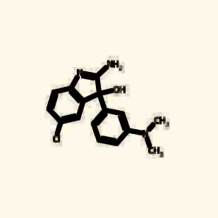 CN(C)c1cccc(C2(O)C(N)=Nc3ccc(Cl)cc32)c1